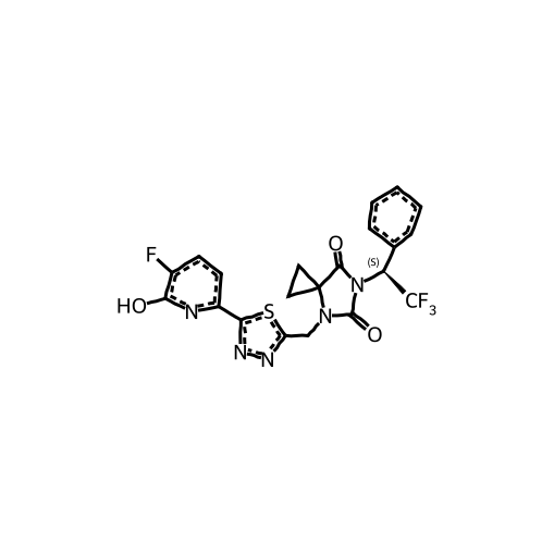 O=C1N([C@@H](c2ccccc2)C(F)(F)F)C(=O)C2(CC2)N1Cc1nnc(-c2ccc(F)c(O)n2)s1